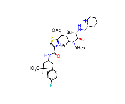 CCCCCCN(C(=O)[C@@H](NCC1CCCCN1C)[C@@H](C)CC)[C@H](C[C@@H](OC(C)=O)c1nc(C(=O)N[C@@H](Cc2ccc(F)cc2)CC(C)(C)C(=O)O)cs1)C(C)C